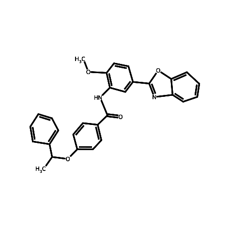 COc1ccc(-c2nc3ccccc3o2)cc1NC(=O)c1ccc(OC(C)c2ccccc2)cc1